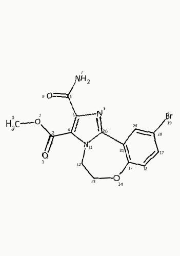 COC(=O)c1c(C(N)=O)nc2n1CCOc1ccc(Br)cc1-2